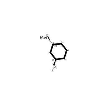 CO[C@@H]1CCC[C@@H](C(C)C)C1